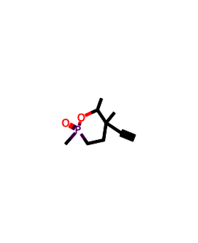 C#CC1(C)CCP(C)(=O)OC1C